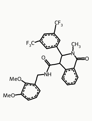 COc1cccc(CNC(=O)C2c3ccccc3C(=O)N(C)C2c2cc(C(F)(F)F)cc(C(F)(F)F)c2)c1OC